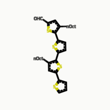 CCCCCCCCc1cc(C=O)sc1-c1ccc(-c2sc(-c3cccs3)cc2CCCCCCCC)s1